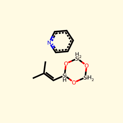 CC(C)=C[SiH]1O[SiH2]O[SiH2]O1.c1ccncc1